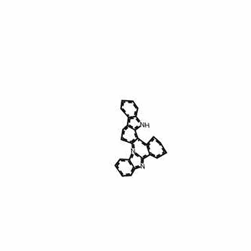 c1ccc2c(c1)nc1c3ccccc3c3c4[nH]c5ccccc5c4ccc3n21